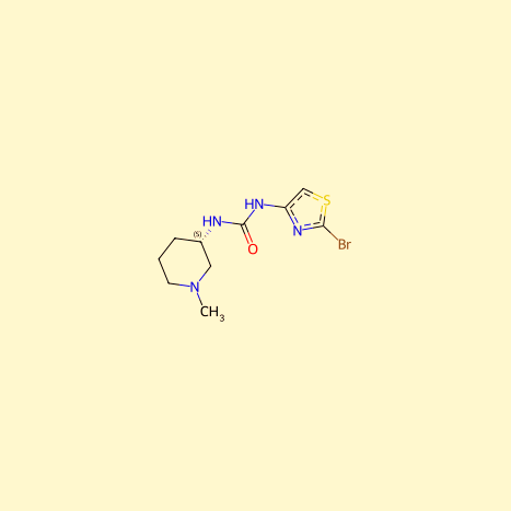 CN1CCC[C@H](NC(=O)Nc2csc(Br)n2)C1